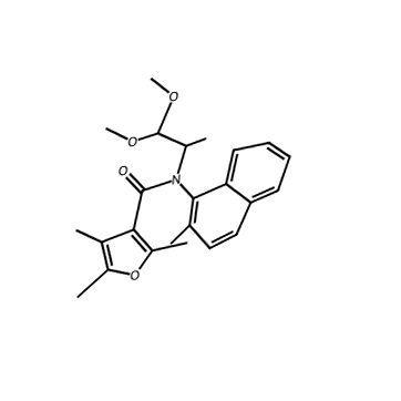 COC(OC)C(C)N(C(=O)c1c(C)oc(C)c1C)c1c(C)ccc2ccccc12